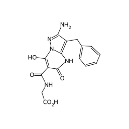 Nc1nn2c(O)c(C(=O)NCC(=O)O)c(=O)[nH]c2c1Cc1ccccc1